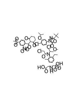 CC(C)Oc1cc(-n2nc(C(C)(C)C)oc2=O)c(Cl)cc1Cl.CCc1cccc(C)c1N(C(=O)CCl)C(C)COC.CS(=O)(=O)c1ccc(C(=O)C2C(=O)CCCC2=O)c([N+](=O)[O-])c1.O=C(O)CNCP(=O)(O)O